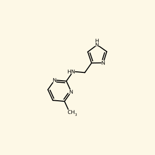 Cc1ccnc(NCc2c[nH]cn2)n1